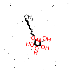 CCCCCCCCCO[C@H]1O[C@H](CO)[C@H](O)[C@H](O)[C@H]1O